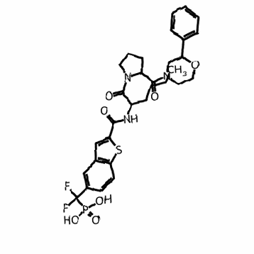 CCCCC(NC(=O)c1cc2cc(C(F)(F)P(=O)(O)O)ccc2s1)C(=O)N1CCCC1C(=O)N1CCOC(c2ccccc2)C1